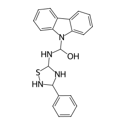 OC(NC1NC(c2ccccc2)NS1)n1c2ccccc2c2ccccc21